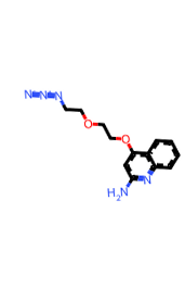 [N-]=[N+]=NCCOCCOc1cc(N)nc2ccccc12